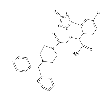 NC(=O)C(OCC(=O)N1CCN(C(c2ccccc2)c2ccccc2)CC1)C1CC=C(Cl)C=C1c1noc(=O)[nH]1